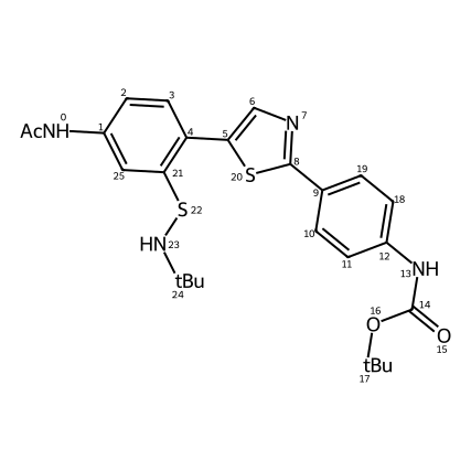 CC(=O)Nc1ccc(-c2cnc(-c3ccc(NC(=O)OC(C)(C)C)cc3)s2)c(SNC(C)(C)C)c1